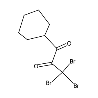 O=C(C(=O)C(Br)(Br)Br)C1CCCCC1